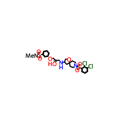 CNS(=O)(=O)c1cccc(OC[C@@H](O)CNC2COC3(CCN(S(=O)(=O)c4cccc(Cl)c4Cl)CC3)C2)c1